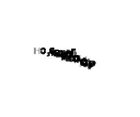 C[S+]([O-])c1ccc(-c2ccc(-c3nc4cc(COCC(=O)O)[nH]c4cc3F)cc2)cc1